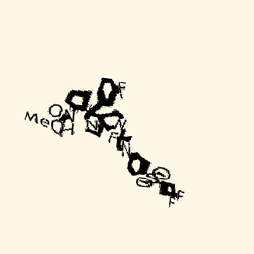 COC(=O)N[C@H]1CCC[C@@H]1C(CN1CCC1)(c1cccc(F)c1)C1CCN(CC2(F)CN(c3ccc(S(=O)(=O)C4CC(F)(F)C4)cc3)C2)CC1